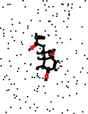 COC(=O)CC(C)(C(C)C)C1(C)C(=O)C=CC(=O)C1C